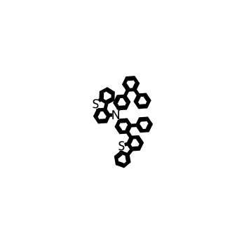 c1ccc(-c2ccccc2-c2ccc(N(c3ccc(-c4cccc5c4sc4ccccc45)c(-c4ccccc4)c3)c3cccc4sc5ccccc5c34)cc2)cc1